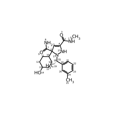 CNC(=O)C1=CC(C(N)=O)(C2CCC(O)CC2)N([C@@H](C)c2cccc(C)c2)N1